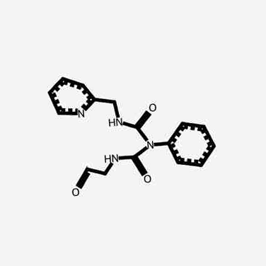 O=[C]CNC(=O)N(C(=O)NCc1ccccn1)c1ccccc1